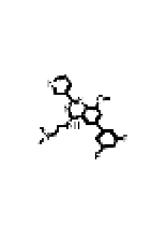 COc1cc(-c2cc(F)cc(F)c2)cc2c(NCCN(C)C)nc(-c3cccnc3)nc12